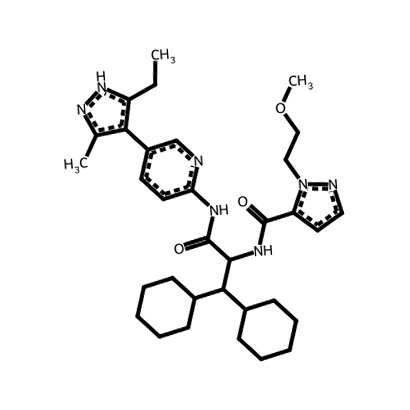 CCc1[nH]nc(C)c1-c1ccc(NC(=O)C(NC(=O)c2ccnn2CCOC)C(C2CCCCC2)C2CCCCC2)nc1